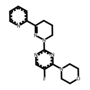 Fc1cnc(N2CCCC(c3ccccn3)=N2)nc1N1CCOCC1